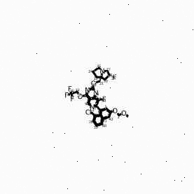 COCOc1cc(-c2ncc3c(OCC(F)(F)F)nc(OC[C@@]45CCCN4C[C@H](F)C5)nc3c2F)c2c(Cl)cccc2c1